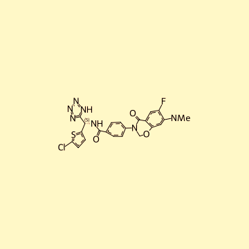 CNc1cc2c(cc1F)C(=O)N(c1ccc(C(=O)N[C@@H](c3nnn[nH]3)c3ccc(Cl)s3)cc1)CO2